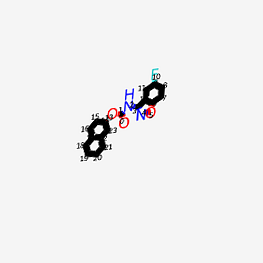 O=C(Nc1noc2ccc(F)cc12)Oc1ccc2ccccc2c1